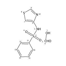 O=CO.O=S(=O)(Nc1cscn1)c1ccccc1